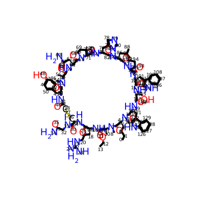 CCCC[C@H]1C(=O)N(C)[C@@H](COCC)C(=O)N[C@@H](CCCNC(=N)N)C(=O)NC(C(=O)NCC(N)=O)CSCC(=O)N[C@@H](Cc2ccc(O)cc2)C(=O)N(C)[C@@H](C)C(=O)N[C@@H](CC(N)=O)C(=O)N2CCC[C@H]2C(=O)N[C@@H](Cc2cnc[nH]2)C(=O)N[C@@H](CC(C)C)C(=O)N2CCCC2(C=O)N[C@@H](Cc2c[nH]c3ccccc23)C(=O)N[C@@H](CO)C(=O)N[C@@H](Cc2c[nH]c3ccccc23)C(=O)N1C